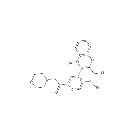 CC(C)Oc1ccc(C(=O)CN2CCOCC2)cc1-n1c(CCl)nc2ccccc2c1=O